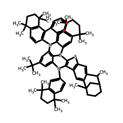 CC1c2cc3sc4c(c3cc2C2(C)CCCC1C2)N(c1ccc2c(c1)C(C)(C)CCC2(C)C)c1cc(C(C)(C)C)cc2c1B4c1cc3c(cc1N2c1ccc2c(c1-c1ccccc1)C(C)(C)CCC2(C)C)C(C)(C)CCC3(C)C